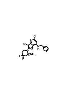 N[C@H]1CC(F)(F)CC[C@H]1c1sc2c(NCc3cccs3)cc(Cl)nc2c1Br